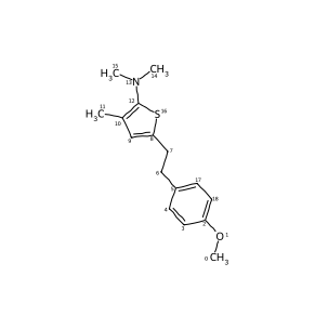 COc1ccc(CCc2cc(C)c(N(C)C)s2)cc1